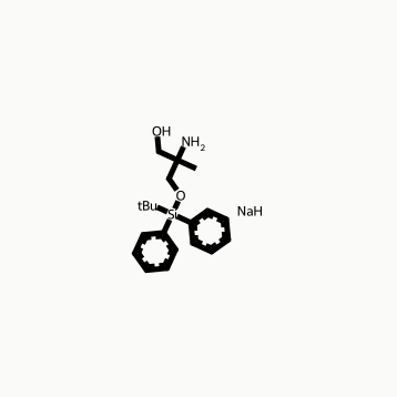 CC(N)(CO)CO[Si](c1ccccc1)(c1ccccc1)C(C)(C)C.[NaH]